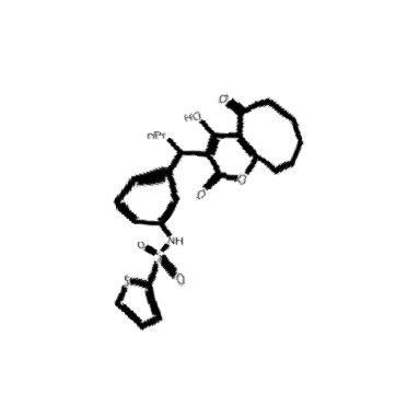 CCCC(c1cccc(NS(=O)(=O)c2cccs2)c1)c1c(O)c2c(oc1=O)CCCCCC2=O